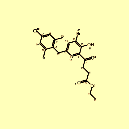 CCOC(=O)CCC(=O)c1nc(Cc2c(C)cc(Cl)cc2C)cc(Br)c1O